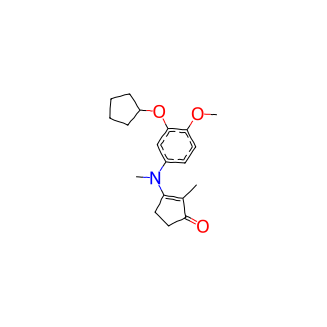 COc1ccc(N(C)C2=C(C)C(=O)CC2)cc1OC1CCCC1